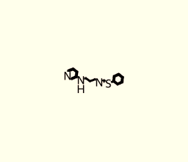 c1ccc(SC[N]CCCNc2cccnc2)cc1